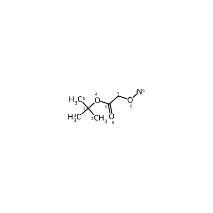 CC(C)(C)OC(=O)CO[N]